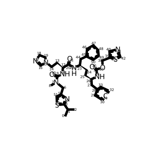 CC(C)c1nc(CN(C)C(=O)N[C@@H](CCN2C=NCC2)C(=O)N[C@H](CC[C@H](Cc2ccccc2)NC(=O)OCc2cncs2)Cc2ccccc2)cs1